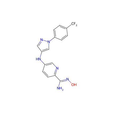 N/C(=N\O)c1ccc(Nc2cnn(-c3ccc(C(F)(F)F)cc3)c2)cn1